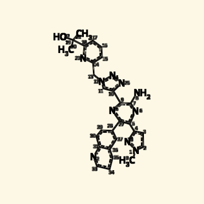 Cn1ccc(-c2nc(N)c(-c3cn(Cc4cccc(C(C)(C)O)n4)nn3)nc2-c2ccc3ncccc3c2)n1